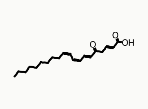 CCCCCCCCC\C=C/C=C\C=C\C(=O)CC=CC(=O)O